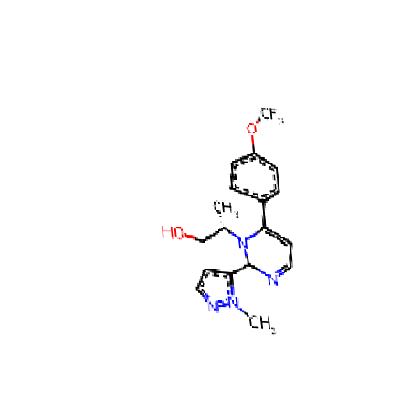 C[C@@H](CO)N1C(c2ccc(OC(F)(F)F)cc2)=CC=NC1c1ccnn1C